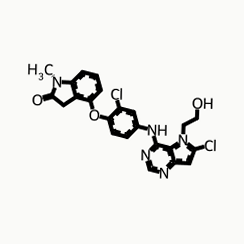 CN1C(=O)Cc2c(Oc3ccc(Nc4ncnc5cc(Cl)n(CCO)c45)cc3Cl)cccc21